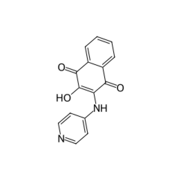 O=C1C(O)=C(Nc2ccncc2)C(=O)c2ccccc21